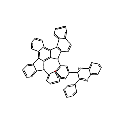 c1ccc(C2=Nc3ccccc3NC2c2cccc(-n3c4ccc5ccccc5c4c4c5ccccc5c5c6ccccc6n(-c6ccccc6)c5c43)c2)cc1